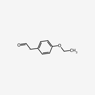 CCOc1ccc([CH]C=O)cc1